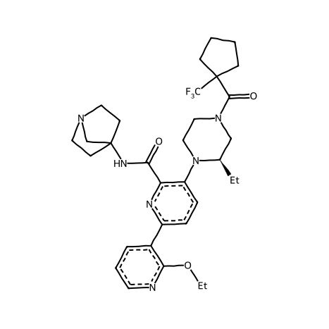 CCOc1ncccc1-c1ccc(N2CCN(C(=O)C3(C(F)(F)F)CCCC3)C[C@H]2CC)c(C(=O)NC23CCN(CC2)C3)n1